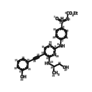 CCOC(=O)/N=[SH](=O)/c1ccc(Nc2ncc(C#Cc3cccc(O)c3)c(N[C@H](C)CO)n2)cc1